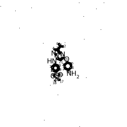 CC(C)c1cnn2c(Nc3ccc(S(=O)(=O)N(C)C)cc3)cc(O[C@H]3CC[C@H](N)CC3)nc12